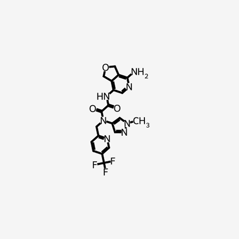 Cn1cc(N(Cc2ccc(C(F)(F)F)cn2)C(=O)C(=O)Nc2cnc(N)c3c2COC3)cn1